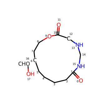 O=C1CCCCCCCOC(=O)CNCN1.O=CO